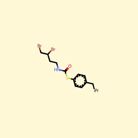 CC(C)Cc1ccc(SC(=O)NCCC(Br)CBr)cc1